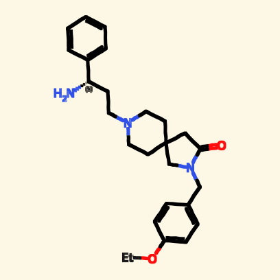 CCOc1ccc(CN2CC3(CCN(CC[C@H](N)c4ccccc4)CC3)CC2=O)cc1